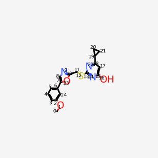 COc1cccc(-c2cnc(CSc3nc(O)cc(C4CC4)n3)o2)c1